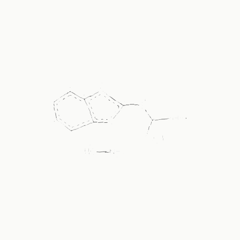 CCCCCCC(Sc1nc2ccccc2s1)C(=O)O.NO